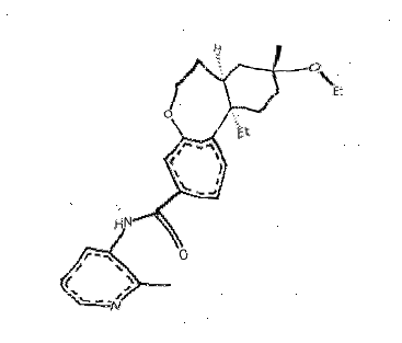 CCO[C@]1(C)CC[C@@]2(CC)c3ccc(C(=O)Nc4cccnc4C)cc3OCC[C@H]2C1